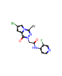 CC(C)c1nn(CC(=O)Nc2ccncc2F)c(=O)c2cc(Br)cn12